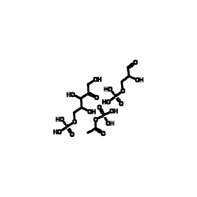 CC(=O)OP(=O)(O)O.O=C(CO)C(O)C(O)COP(=O)(O)O.O=CC(O)COP(=O)(O)O